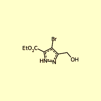 CCOC(=O)c1[nH]nc(CO)c1Br